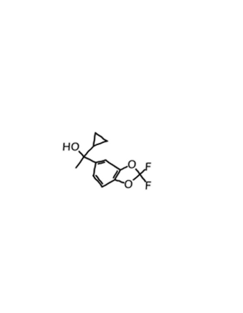 CC(O)(c1ccc2c(c1)OC(F)(F)O2)C1CC1